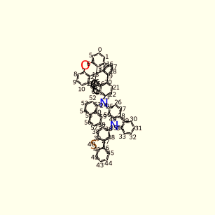 c1ccc2c(c1)Oc1ccccc1C21c2ccccc2-c2ccc(N(c3ccc4c5ccccc5n(-c5ccc6sc7ccccc7c6c5)c4c3)c3cccc4ccccc34)c3cccc1c23